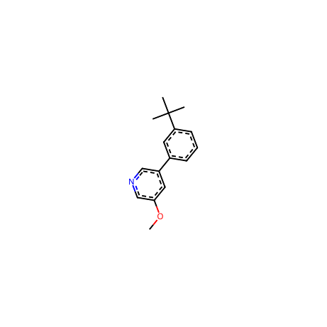 COc1cncc(-c2cccc(C(C)(C)C)c2)c1